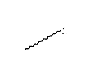 CC/C=C/C=C/CCCCCCCCCCCC(OCC)OCC